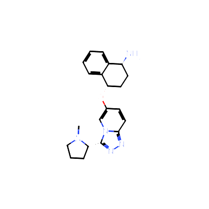 CN1CCC[C@H]1c1nnc2ccc(O[C@H]3CC[C@H](N)c4ccccc43)cn12